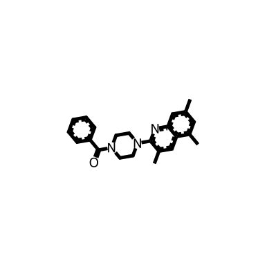 Cc1cc(C)c2cc(C)c(N3CCN(C(=O)c4ccccc4)CC3)nc2c1